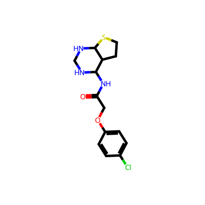 O=C(COc1ccc(Cl)cc1)NC1NCNC2SCCC12